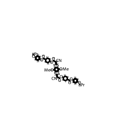 [C-]#[N+]C(C(=O)OC1CCC(C(=O)Oc2ccc(OCCC)cc2)CC1)=C1Sc2c(OC)c3c(c(OC)c2S1)SC(=C(C#N)C(=O)OC1CCC(C(=O)Oc2ccc(OCCC)cc2)CC1)S3